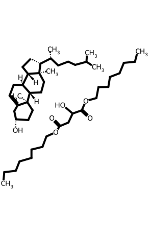 CC(C)CCC[C@@H](C)[C@H]1CC[C@H]2[C@@H]3CC=C4C[C@@H](O)CC[C@]4(C)[C@H]3CC[C@]12C.CCCCCCCCOC(=O)CC(O)C(=O)OCCCCCCCC